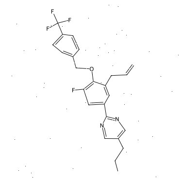 C=CCc1cc(-c2ncc(CCC)cn2)cc(F)c1OCc1ccc(C(F)(F)F)cc1